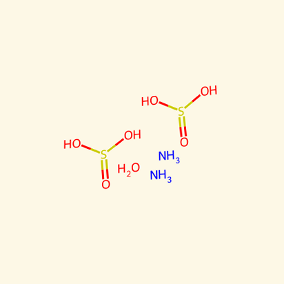 N.N.O.O=S(O)O.O=S(O)O